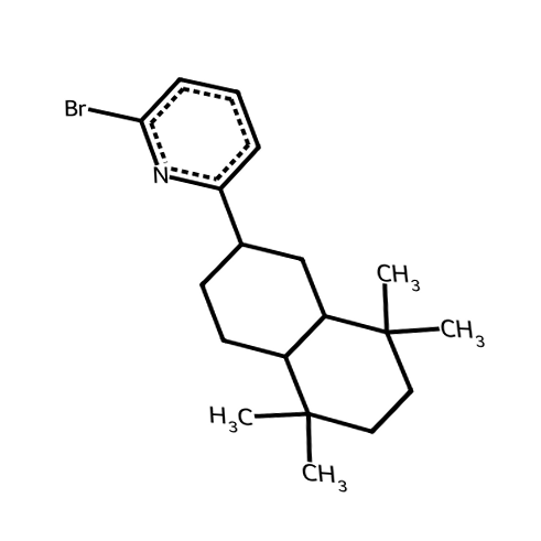 CC1(C)CCC(C)(C)C2CC(c3cccc(Br)n3)CCC21